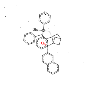 CC(C)(C)[Si](C[C@]1(CCc2ccccc2)CC2CC1(C(=O)c1ccc3ccccc3c1)C2)(c1ccccc1)c1ccccc1